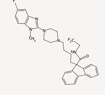 Cn1c(N2CCN(CCCCC3(C(=O)NCC(F)(F)F)c4ccccc4-c4ccccc43)CC2)nc2cc(F)ccc21